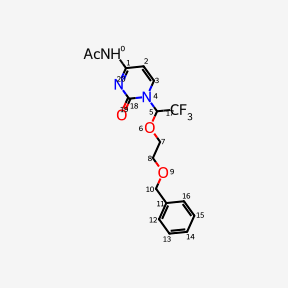 CC(=O)Nc1ccn(C(OCCOCc2ccccc2)C(F)(F)F)c(=O)n1